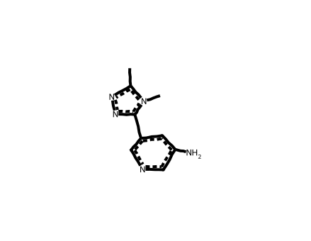 Cc1nnc(-c2cncc(N)c2)n1C